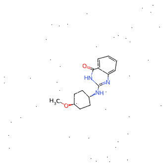 CO[C@H]1CC[C@@H](Nc2nc3ccccc3c(=O)[nH]2)CC1